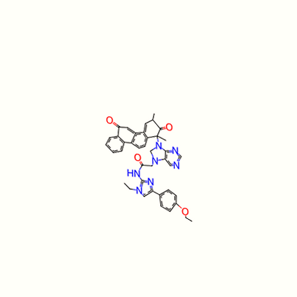 CCOc1ccc(-c2cn(CC)c(NC(=O)CN3CN(C4(C)C(=O)C(C)C=c5c4ccc4c5=CC(=O)c5ccccc5-4)c4ncncc43)n2)cc1